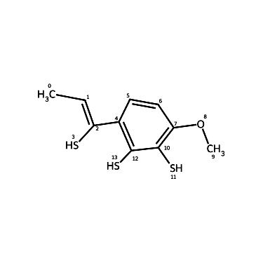 CC=C(S)c1ccc(OC)c(S)c1S